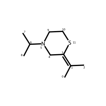 CC(C)=C1CN(C(C)C)CCS1